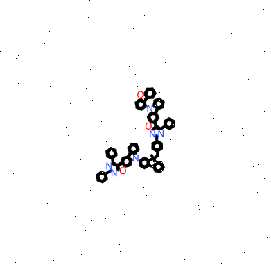 CC1(Cc2ccc(-c3nc(-c4ccccc4)c4c(n3)oc3cc5c(cc34)c3ccccc3n5-c3cccc4oc5ccccc5c34)cc2)c2ccccc2-c2ccc(-n3c4ccccc4c4cc5c(cc43)oc3nc(-c4ccccc4)nc(-c4ccccc4)c35)cc21